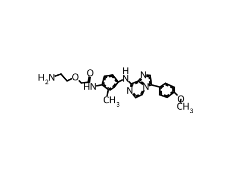 COc1ccc(-c2cnc3c(Nc4ccc(NC(=O)COCCN)c(C)c4)nccn23)cc1